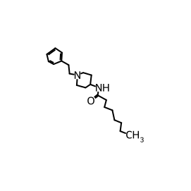 CCCCCCCC(=O)NC1CCN(CCc2ccccc2)CC1